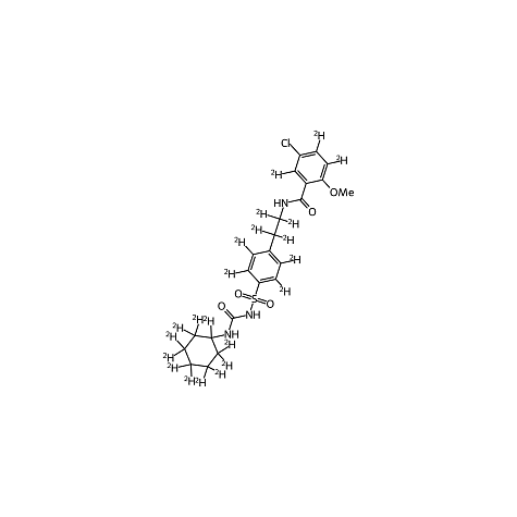 [2H]c1c([2H])c(OC)c(C(=O)NC([2H])([2H])C([2H])([2H])c2c([2H])c([2H])c(S(=O)(=O)NC(=O)NC3([2H])C([2H])([2H])C([2H])([2H])C([2H])([2H])C([2H])([2H])C3([2H])[2H])c([2H])c2[2H])c([2H])c1Cl